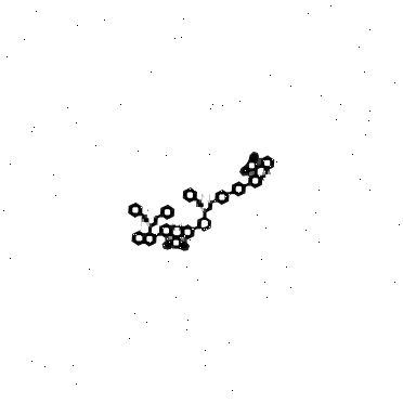 C1=CC(c2ccc3c(c2)Oc2ccc(-c4ccc5ccccc5c4-c4cc(-c5ccccc5)nc(-c5ccccc5)n4)cc2C32c3ccccc3-c3ccccc32)=CC(c2cc(-c3ccc(-c4ccc(-c5ccc6c(c5)C5(c7ccccc7O6)c6ccccc6-c6ccccc65)cc4)cc3)nc(-c3ccccc3)n2)C1